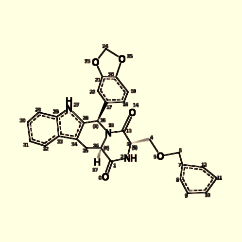 O=C1N[C@@H](COCc2ccccc2)C(=O)N2[C@H](c3ccc4c(c3)OCO4)c3[nH]c4ccccc4c3C[C@H]12